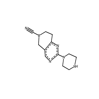 N#CB1CCc2nc(N3CCNCC3)ncc2C1